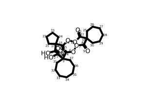 O=C(O)C1(C(=O)OOC(=O)C2(C(=O)OOC(=O)C3(C(=O)O)CCCC3)CCCCCC2)CCCCCCC1